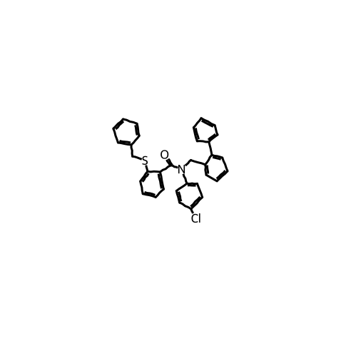 O=C(c1ccccc1SCc1ccccc1)N(Cc1ccccc1-c1ccccc1)c1ccc(Cl)cc1